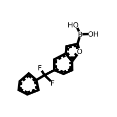 OB(O)c1cc2cc(C(F)(F)c3ccccc3)ccc2o1